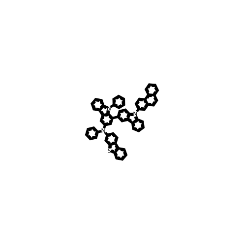 c1ccc(N(c2ccc3c(c2)sc2ccccc23)c2cc(-c3ccc4c(c3)c3ccccc3n4-c3ccc4c(ccc5ccccc54)c3)c3c(c2)c2ccccc2n3-c2ccccc2)cc1